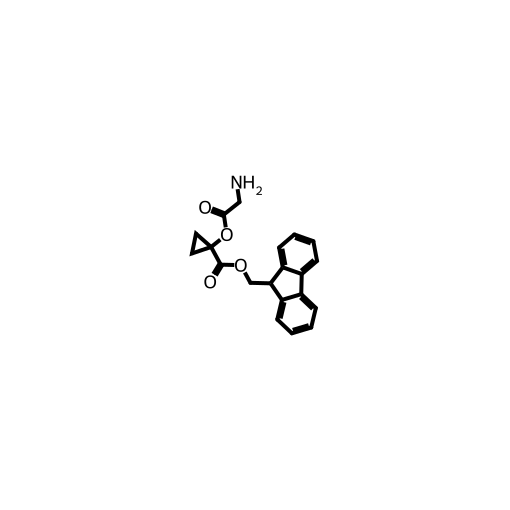 NCC(=O)OC1(C(=O)OCC2c3ccccc3-c3ccccc32)CC1